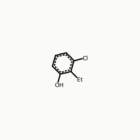 CCc1c(O)cccc1Cl